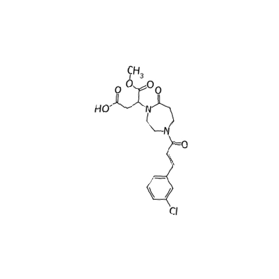 COC(=O)C(CC(=O)O)N1CCN(C(=O)C=Cc2cccc(Cl)c2)CCC1=O